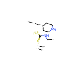 C1CCNCC1.[CH2]CNC(=S)S.[CH2][CH2].[CH2][CH2].[CH2][CH2].[CH2][CH2]